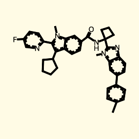 Cc1ccc(-c2ccc3nc(C4(NC(=O)c5ccc6c(C7CCCC7)c(-c7ccc(F)cn7)n(C)c6c5)CCC4)n(C)c3c2)cc1